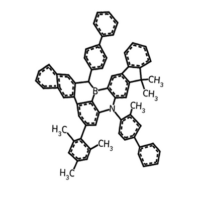 Cc1cc(C)c(-c2cc3c4c(c2)N(c2ccc(-c5ccccc5)cc2C)c2cc5c(cc2B4C(c2ccc(-c4ccccc4)cc2)c2cc4ccccc4cc2-3)-c2ccccc2C5(C)C)c(C)c1